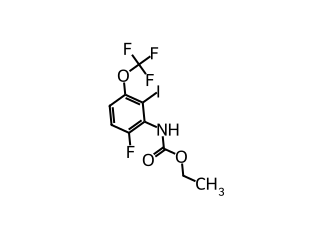 CCOC(=O)Nc1c(F)ccc(OC(F)(F)F)c1I